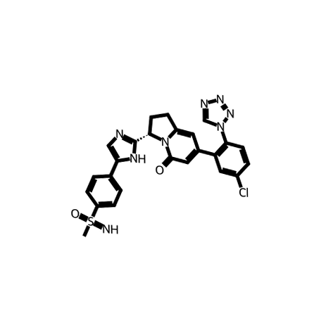 CS(=N)(=O)c1ccc(-c2cnc([C@@H]3CCc4cc(-c5cc(Cl)ccc5-n5cnnn5)cc(=O)n43)[nH]2)cc1